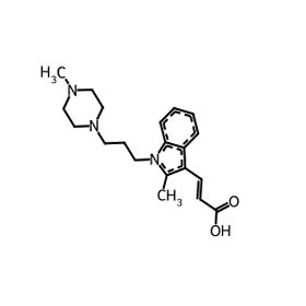 Cc1c(C=CC(=O)O)c2ccccc2n1CCCN1CCN(C)CC1